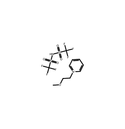 COCC[n+]1ccccc1.O=S(=O)(NS(=O)(=O)C(F)(F)F)C(F)(F)F